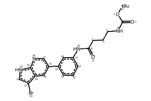 CC(C)(C)OC(=O)NCCCC(=O)Nc1cccc(-c2cnc3[nH]cc(Br)c3c2)c1